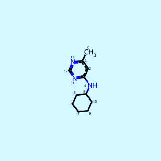 Cc1cc(NC2CCCCC2)ncn1